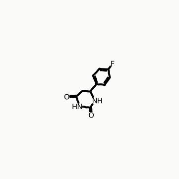 O=C1CC(c2ccc(F)cc2)NC(=O)N1